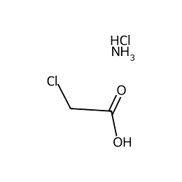 Cl.N.O=C(O)CCl